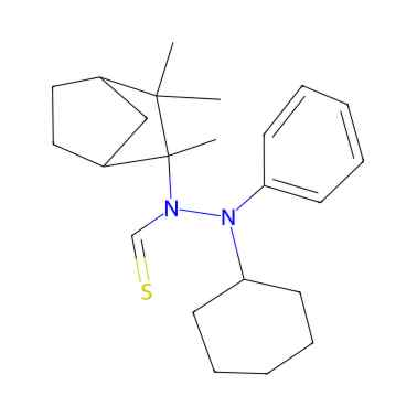 CC1(C)C2CCC(C2)C1(C)N(C=S)N(c1ccccc1)C1CCCCC1